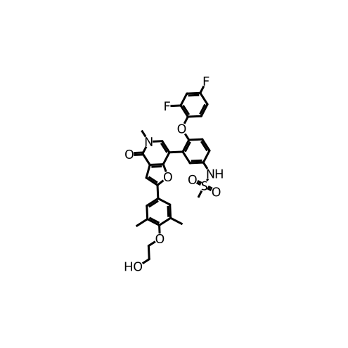 Cc1cc(-c2cc3c(=O)n(C)cc(-c4cc(NS(C)(=O)=O)ccc4Oc4ccc(F)cc4F)c3o2)cc(C)c1OCCO